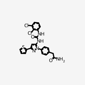 NC(=O)Cc1ccc(-n2nc(-c3cccs3)cc2NC(=O)Nc2cccc(Cl)c2Cl)cc1